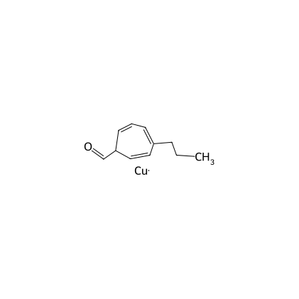 CCCC1=CC=CC(C=O)C=C1.[Cu]